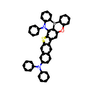 c1ccc(N(c2ccccc2)c2ccc3cc4c(cc3c2)sc2c3c5c(cc24)Oc2ccccc2B5c2ccccc2N3c2ccccc2)cc1